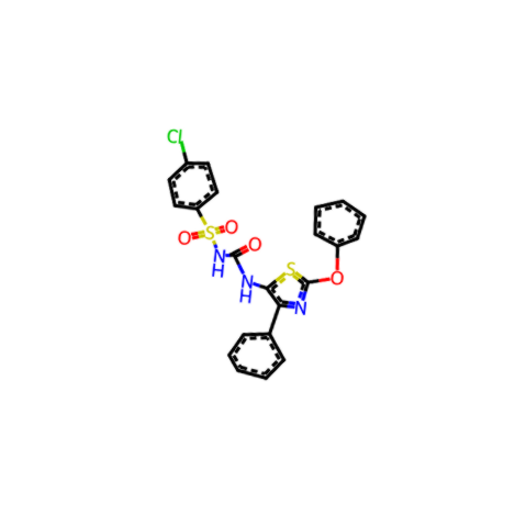 O=C(Nc1sc(Oc2ccccc2)nc1-c1ccccc1)NS(=O)(=O)c1ccc(Cl)cc1